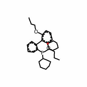 CCCOc1cccc(OCCC)c1-c1ccccc1P(C1CCCCC1)C1CCCCC1